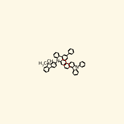 CC1(C)c2ccccc2-c2ccc(N(c3ccc(-c4ccc5c(c4)c4ccccc4n5-c4ccccc4)cc3)c3ccccc3-c3cc(-c4ccccc4)cc(-c4ccccc4)c3)cc21